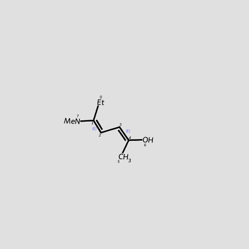 CC/C(=C\C=C(/C)O)NC